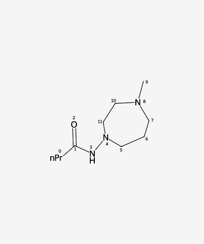 CCCC(=O)NN1CCCN(C)CC1